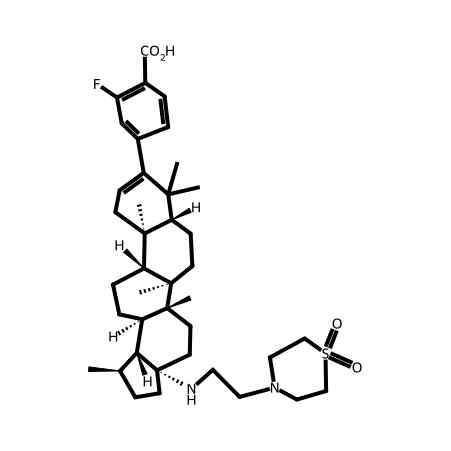 C[C@@H]1CC[C@]2(NCCN3CCS(=O)(=O)CC3)CC[C@]3(C)[C@H](CC[C@@H]4[C@@]5(C)CC=C(c6ccc(C(=O)O)c(F)c6)C(C)(C)[C@@H]5CC[C@]43C)[C@@H]12